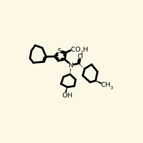 C[C@H]1CC[C@H](C(=O)N(c2cc(C3=CCCCCC3)sc2C(=O)O)[C@H]2CC[C@H](O)CC2)CC1